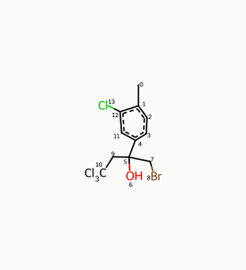 Cc1ccc(C(O)(CBr)CC(Cl)(Cl)Cl)cc1Cl